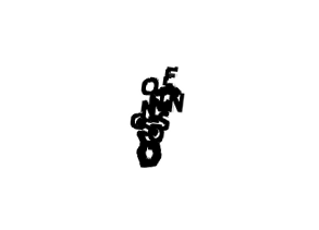 O=c1c(F)cnc2sc(S(=O)(=O)Cc3ccccc3)nn12